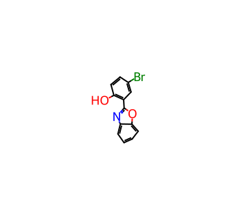 Oc1ccc(Br)cc1-c1nc2ccccc2o1